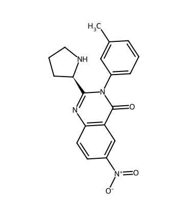 Cc1cccc(-n2c([C@H]3CCCN3)nc3ccc([N+](=O)[O-])cc3c2=O)c1